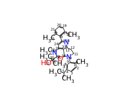 Cc1ccc(C(C)C)cc1N1CCc2nc(-c3c(C)cccc3C)cc(N(C)CC(C)(C)O)c2C1=O